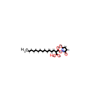 CCCCCCCCCCCCCC(C(=O)O)C(=O)ON1C(=O)CCC1=O